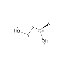 [CH2][C@@H](O)CCO